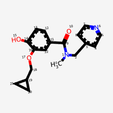 CN(Cc1ccncc1)C(=O)c1ccc(O)c(OCC2CC2)c1